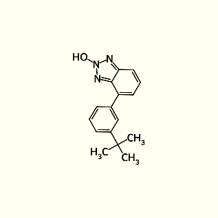 CC(C)(C)c1cccc(-c2cccc3nn(O)nc23)c1